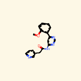 COc1ccccc1-c1cc(NC(=O)Cc2cccnc2)ncn1